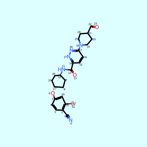 N#Cc1ccc(O[C@H]2CC[C@H](NC(=O)c3ccc(N4CCC(C=O)CC4)nn3)CC2)cc1Br